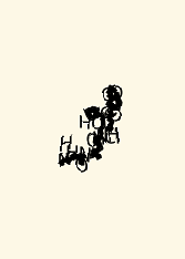 CNCCC(=O)NCC(C)(C)CC(=O)NCCC(O)(Cc1ccccc1)N(CC(C)C)S(=O)(=O)c1ccc2c(c1)OCO2.Cl